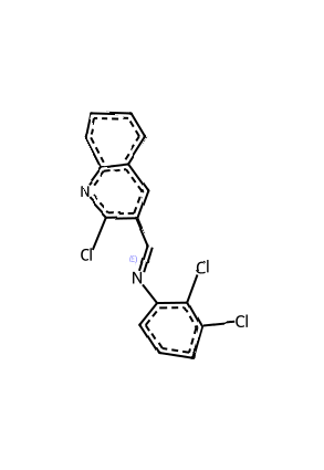 Clc1cccc(/N=C/c2cc3ccccc3nc2Cl)c1Cl